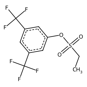 CCS(=O)(=O)Oc1cc(C(F)(F)F)cc(C(F)(F)F)c1